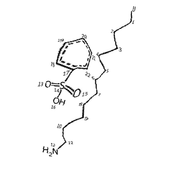 CCCCCCCCCCCCN.O=S(=O)(O)c1ccccc1